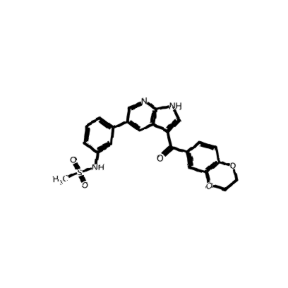 CS(=O)(=O)Nc1cccc(-c2cnc3[nH]cc(C(=O)c4ccc5c(c4)OCCO5)c3c2)c1